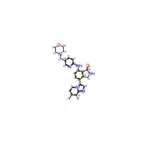 Cc1ccn2c(-c3ccc(Nc4ccc(CN5CCOCC5)cn4)c4c3CNC4=O)cnc2c1F